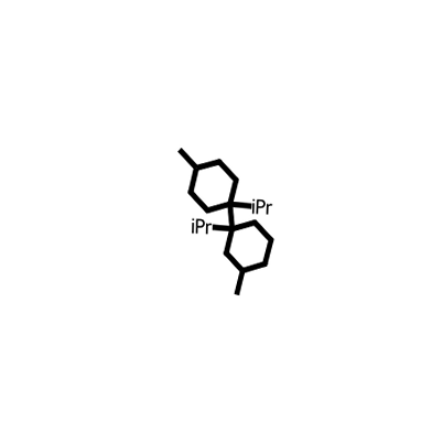 CC1CCC(C(C)C)(C2(C(C)C)CCCC(C)C2)CC1